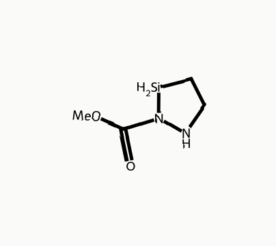 COC(=O)N1NCC[SiH2]1